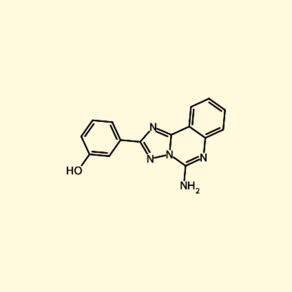 Nc1nc2ccccc2c2nc(-c3cccc(O)c3)nn12